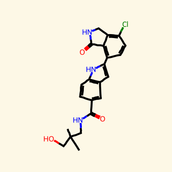 CC(C)(CO)CNC(=O)c1ccc2[nH]c(-c3ccc(Cl)c4c3C(=O)NC4)cc2c1